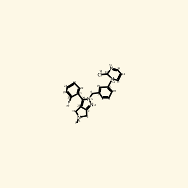 CN1Cc2nn(Cc3cccc(N4C=CC=NC4Cl)c3)c(-c3ccccc3F)c2C1